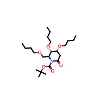 CCCCOCC1[C@H](OCCCC)[C@H](OCCCC)CC(=O)N1C(=O)OC(C)(C)C